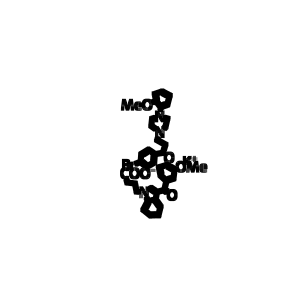 COc1cc(C(=O)c2cn(CCCC(=O)[O-])c3ccccc23)ccc1OC(CCN1CCN(c2ccccc2OC)CC1)c1ccc(Br)cc1.[K+]